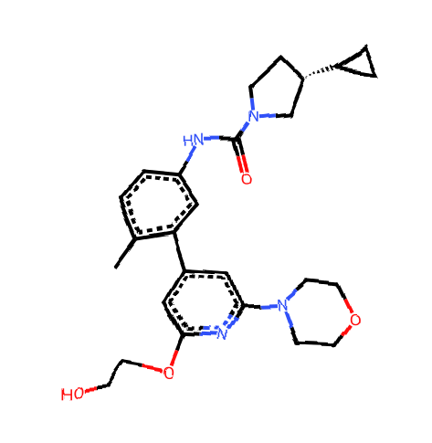 Cc1ccc(NC(=O)N2CC[C@H](C3CC3)C2)cc1-c1cc(OCCO)nc(N2CCOCC2)c1